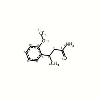 CC(CC(N)=O)c1ccccc1OC(F)(F)F